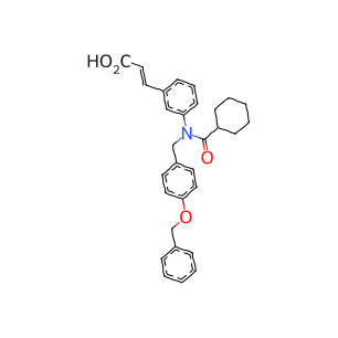 O=C(O)C=Cc1cccc(N(Cc2ccc(OCc3ccccc3)cc2)C(=O)C2CCCCC2)c1